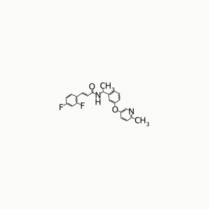 Cc1ccc(Oc2cccc(C(C)NC(=O)C=Cc3ccc(F)cc3F)c2)cn1